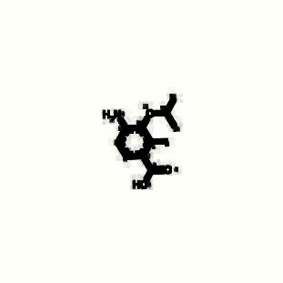 Cc1c(C(=O)O)ccc(N)c1OC(C)C